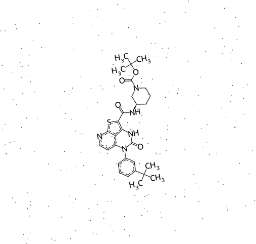 CC(C)(C)OC(=O)N1CCC[C@@H](NC(=O)c2sc3nccc4c3c2NC(=O)N4c2cccc(C(C)(C)C)c2)C1